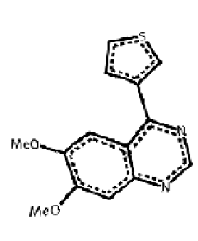 COc1cc2ncnc(-c3ccsc3)c2cc1OC